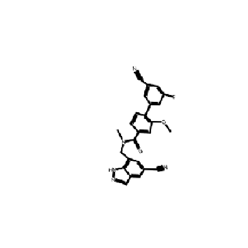 COc1cc(C(=O)N(C)Cc2cc(C#N)cc3cn[nH]c23)ccc1-c1cc(F)cc(C#N)c1